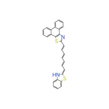 C(=CC=Cc1nc2c3ccccc3c3ccccc3c2s1)C=CC=C1Nc2ccccc2S1